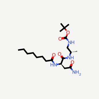 CCCCCCCC(=O)N[C@H](CC(N)=O)C(=O)N[C@@H](C)CNC(=O)OC(C)(C)C